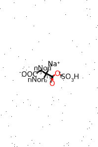 CCCCCCCCCC(CCCCCCCCC)(CC(=O)[O-])C(=O)OS(=O)(=O)O.[Na+]